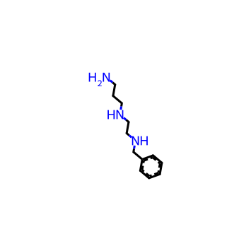 NCCCNCCNCc1ccccc1